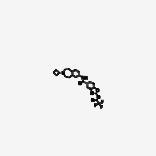 O=C(Nc1ccc2c(c1)CCN(C1CCC1)CC2)c1ccc2c(c1)OC(OC(=O)C(F)(F)F)O2